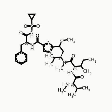 CCC(C)[C@H](NC(=O)[C@@H](NC)C(C)C)C(=O)N(C)[C@H](CC(OC)c1nc(C(=O)N[C@@H](Cc2ccccc2)C(=O)NS(=O)(=O)C2CC2)cs1)C(C)C